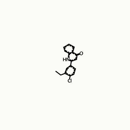 CCc1cc(-c2cc(=O)c3ccccc3[nH]2)ccc1Cl